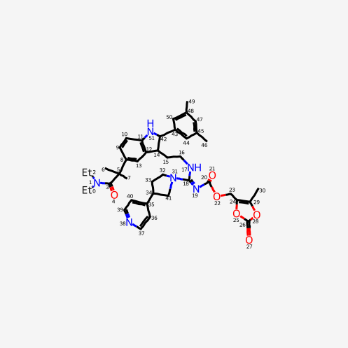 CCN(CC)C(=O)C(C)(C)c1ccc2c(c1)C(CCN/C(=N\C(=O)OCc1oc(=O)oc1C)N1CCC(c3ccncc3)C1)C(c1cc(C)cc(C)c1)N2